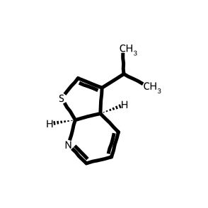 CC(C)C1=CS[C@@H]2N=CC=C[C@H]12